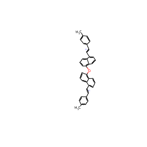 Cc1ccc(/C=C/c2cccc3c(Oc4cccc5c(/C=C/c6ccc(C)cc6)cccc45)cccc23)cc1